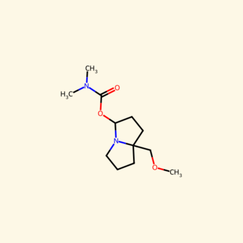 COCC12CCCN1C(OC(=O)N(C)C)CC2